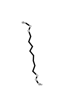 CC(C)(C)OOCCCCCCCCOOC(C)(C)C